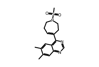 Cc1cc2ncnc(C3=CCCN(S(C)(=O)=O)CC3)c2cc1C